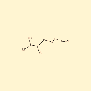 CCCCC(CC)C(OOOC(=O)O)C(C)(C)C